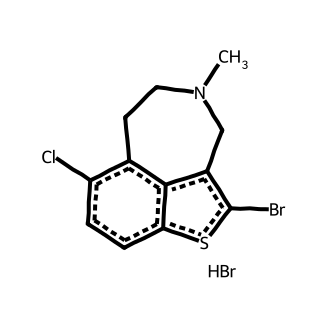 Br.CN1CCc2c(Cl)ccc3sc(Br)c(c23)C1